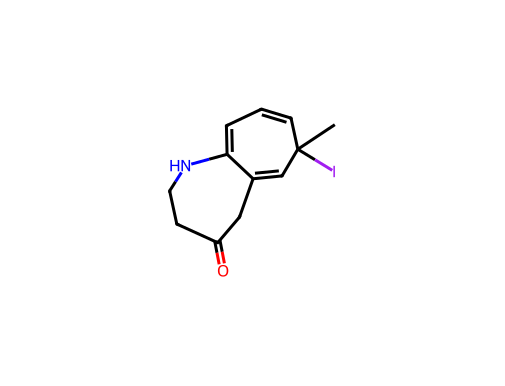 CC1(I)C=CC=C2NCCC(=O)CC2=C1